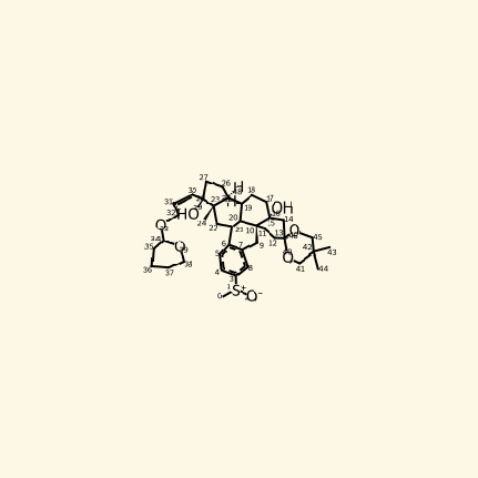 C[S+]([O-])c1ccc2c(c1)C[C@]13CCC4(C[C@]1(O)CC[C@@H]1C3C2C[C@@]2(C)[C@H]1CC[C@@]2(O)/C=C\COC1CCCCO1)OCC(C)(C)CO4